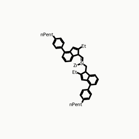 CCCCCc1ccc(-c2cccc3c2C=C(CC)C3C[SiH]([Zr])CC2C(CC)=Cc3c(-c4ccc(CCCCC)cc4)cccc32)cc1